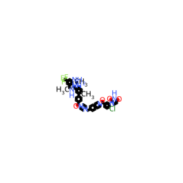 Cc1nc(N[C@H](C)c2cc(N)cc(C(F)(F)F)c2)c2cc(C3CCC(C(=O)N4CCN(CC5CCC6(CC5)CCN(C(=O)c5ccc(Cl)c(-n7ccc(=O)[nH]c7=O)c5)CC6)CC4)CC3)c(C)cc2n1